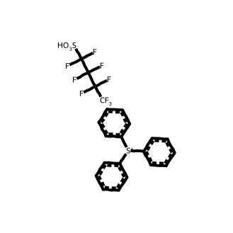 O=S(=O)(O)C(F)(F)C(F)(F)C(F)(F)C(F)(F)F.c1ccc([S+](c2ccccc2)c2ccccc2)cc1